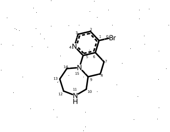 Brc1ccnc2c1CCC1CNCCCN21